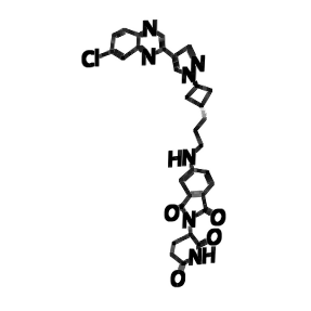 O=C1CCC(N2C(=O)c3ccc(NCCC[C@H]4C[C@H](n5cc(-c6cnc7ccc(Cl)cc7n6)cn5)C4)cc3C2=O)C(=O)N1